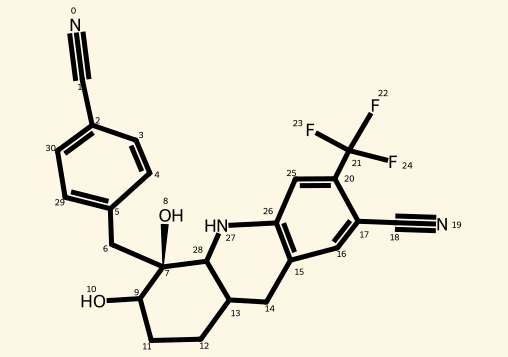 N#Cc1ccc(C[C@@]2(O)C(O)CCC3Cc4cc(C#N)c(C(F)(F)F)cc4NC32)cc1